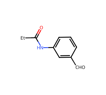 CCC(=O)Nc1cccc(C=O)c1